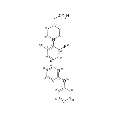 O=C(O)CC1CCN(c2c(F)cc(-c3nccc(Oc4cccnc4)n3)cc2F)CC1